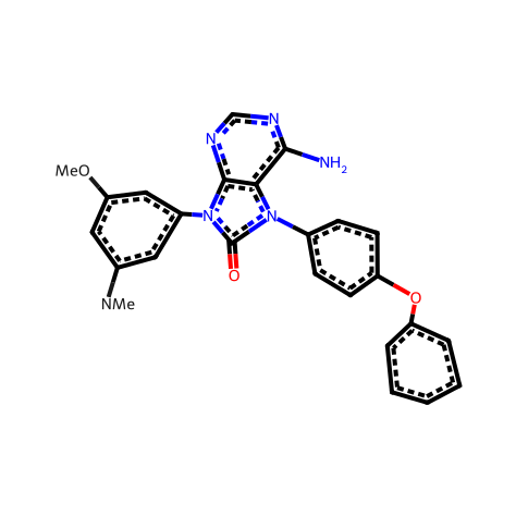 CNc1cc(OC)cc(-n2c(=O)n(-c3ccc(Oc4ccccc4)cc3)c3c(N)ncnc32)c1